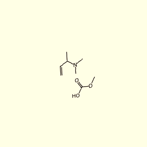 C=CC(C)N(C)C.COC(=O)O